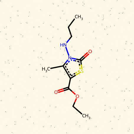 CCCNn1c(C)c(C(=O)OCC)sc1=O